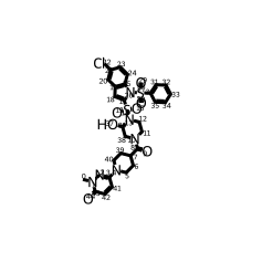 Cn1nc(N2CCC(C(=O)N3CCN(S(=O)(=O)c4cc5cc(Cl)ccc5n4S(=O)(=O)c4ccccc4)C(O)C3)CC2)ccc1=O